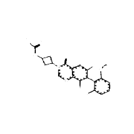 COc1cccc(F)c1-c1c(Cl)cc2c(=O)n(C3CC(NC(=O)O)C3)cnc2c1F